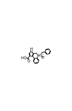 O=C(O)c1c[nH]c2c1-c1ccccc1N([S+]([O-])Cc1ccccc1)C2